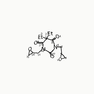 CCC1(CC)C(=O)N(CC2CO2)C(=O)N(CC2CO2)C1=O